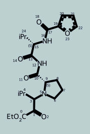 CCOC(=O)C(=O)C(C(C)C)N1CCC[C@H]1C(=O)NC(=O)[C@@H](NC(=O)c1ccco1)C(C)C